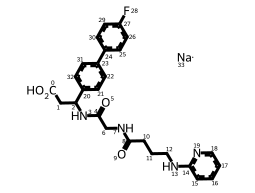 O=C(O)CC(NC(=O)CNC(=O)CCCNc1ccccn1)c1ccc(-c2ccc(F)cc2)cc1.[Na]